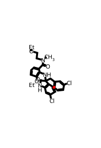 CCOCCN(C)C(=O)c1cccc(OCC)c1NC1(Cc2cccc(Cl)c2)C(=O)Nc2cc(Cl)ccc21